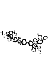 Cn1c(=O)n(C2CCC(=O)NC2=O)c2ccc(C3CCN(CC4(F)CCN(C(=O)OC(C)(C)C)CC4)CC3)cc21